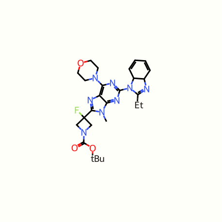 CCC1=NC2C=CC=CC2N1c1nc(N2CCOCC2)c2nc(C3(F)CN(C(=O)OC(C)(C)C)C3)n(C)c2n1